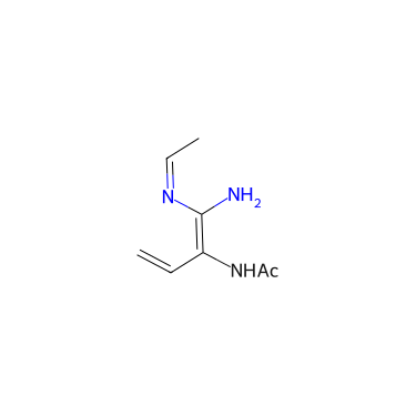 C=C/C(NC(C)=O)=C(N)\N=C/C